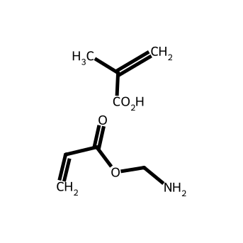 C=C(C)C(=O)O.C=CC(=O)OCN